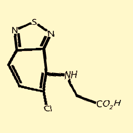 O=C(O)CNc1c(Cl)ccc2nsnc12